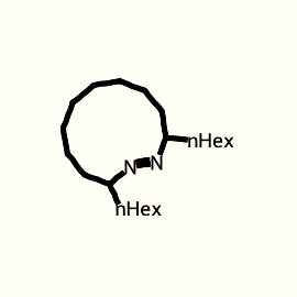 CCCCCCC1CCCCCCCCC(CCCCCC)/N=N/1